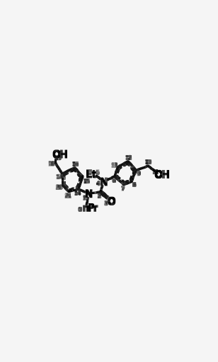 CCCN(C(=O)N(CC)c1ccc(CO)cc1)c1ccc(CO)cc1